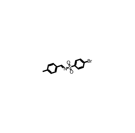 Cc1ccc(/C=N/S(=O)(=O)c2ccc(Br)cc2)cc1